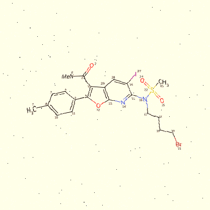 CNC(=O)c1c(-c2ccc(C)cc2)oc2nc(N(CCCCBr)S(C)(=O)=O)c(I)cc12